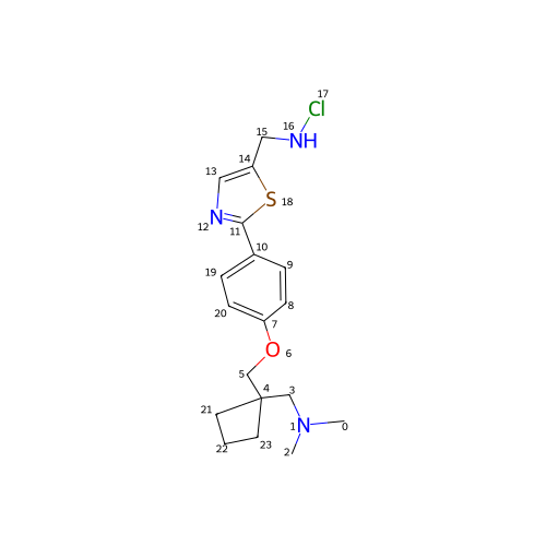 CN(C)CC1(COc2ccc(-c3ncc(CNCl)s3)cc2)CCC1